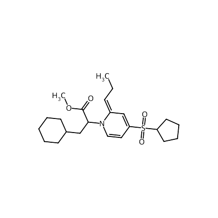 CC/C=C1\C=C(S(=O)(=O)C2CCCC2)C=CN1C(CC1CCCCC1)C(=O)OC